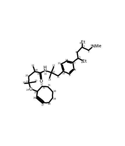 CCC(CNC)CC(CC)c1ccc(CC(C)(C)NC(=O)C(C)CC(C)(C)OC2C#CCCCCC2)cc1